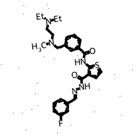 CCN(CC)CCN(C)Cc1cccc(C(=O)Nc2sccc2C(=O)N/N=C/c2cccc(F)c2)c1